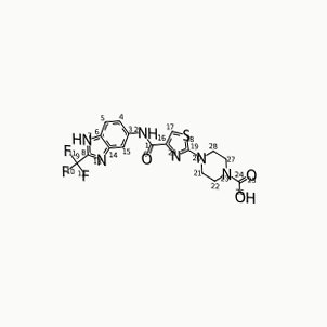 O=C(Nc1ccc2[nH]c(C(F)(F)F)nc2c1)c1csc(N2CCN(C(=O)O)CC2)n1